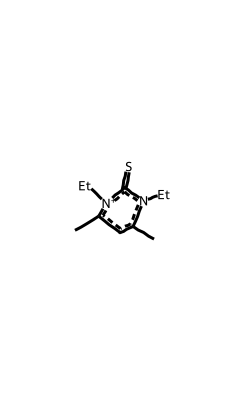 CCn1c(C)cc(C)[n+](CC)c1=S